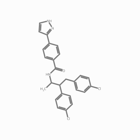 CC(NC(=O)c1ccc(-c2cc[nH]n2)cc1)C(Cc1ccc(Cl)cc1)c1ccc(Cl)cc1